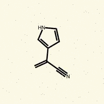 C=C(C#N)c1cc[nH]c1